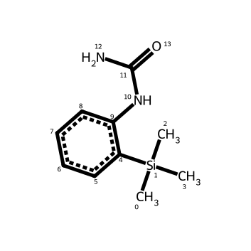 C[Si](C)(C)c1ccccc1NC(N)=O